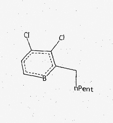 CCCCCCc1bccc(Cl)c1Cl